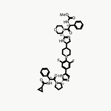 COC(=O)N[C@@H](C(=O)N1CCOC[C@H]1C1=NCC(C2CCN(c3c(F)cc(-c4cnc([C@@H]5CCCN5C(=O)[C@H](NC(=O)C5CC5)c5ccccc5)[nH]4)cc3F)CC2)N1)c1ccccc1